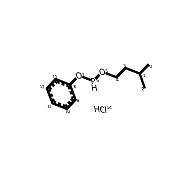 CC(C)CCOPOc1ccccc1.Cl